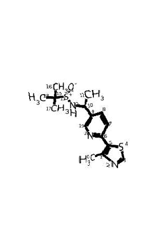 Cc1ncsc1-c1ccc([C@H](C)N[S@+]([O-])C(C)(C)C)cn1